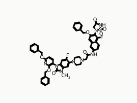 Cn1c(=O)n(-c2ccc(OCc3ccccc3)nc2OCc2ccccc2)c2cc(F)c(N3CCN(CC(=O)Nc4ccc5c(F)c(N6CC(=O)NS6(=O)=O)c(OCc6ccccc6)cc5c4)CC3)cc21